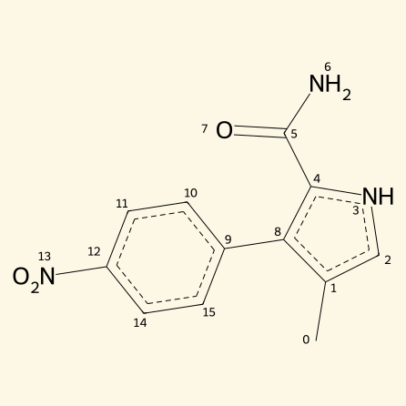 Cc1c[nH]c(C(N)=O)c1-c1ccc([N+](=O)[O-])cc1